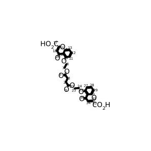 O=C(CCC(=O)OCCOc1cccc2oc(C(=O)O)cc(=O)c12)OCCOc1cccc2oc(C(=O)O)cc(=O)c12